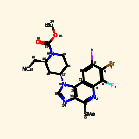 CSc1nc2c(F)c(Br)c(I)cc2c2c1ncn2[C@H]1CCN(C(=O)OC(C)(C)C)[C@H](CC#N)C1